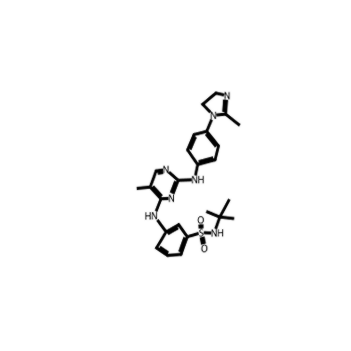 CC1=NCCN1c1ccc(Nc2ncc(C)c(Nc3cccc(S(=O)(=O)NC(C)(C)C)c3)n2)cc1